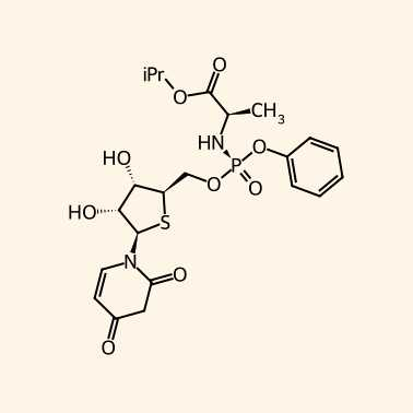 CC(C)OC(=O)[C@@H](C)N[P@@](=O)(OC[C@H]1S[C@@H](N2C=CC(=O)CC2=O)[C@H](O)[C@@H]1O)Oc1ccccc1